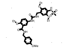 CCOc1cc(NS(C)(=O)=O)c(OCC)cc1CNC(=O)Nc1ccc(OCC)c(C(=O)NCc2ccc(OC)cc2)c1